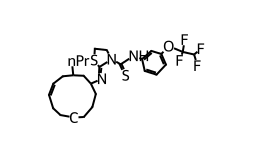 CCCC1CC=CCCCCCCC(N=C2SCCN2C(=S)Nc2cccc(OC(F)(F)C(F)F)c2)C1